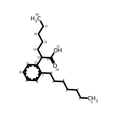 CCCCCCCc1ccccc1C(CCCCC)C(=O)O